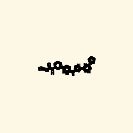 CC(c1ccc(N2CCC[C@@H](NC(=O)OC(C)(C)C)C2)nn1)n1cnc(-c2cncc(N3CCCC3)n2)c1